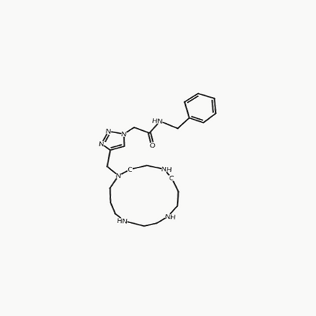 O=C(Cn1cc(CN2CCCNCCNCCCNCC2)nn1)NCc1ccccc1